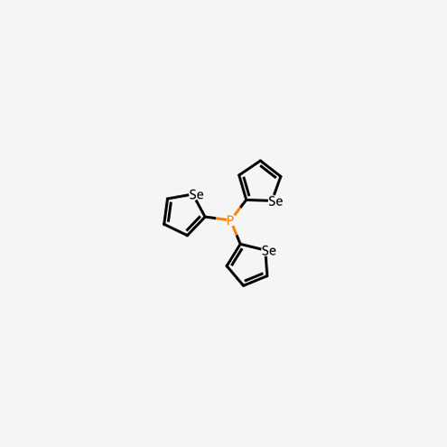 c1c[se]c(P(c2ccc[se]2)c2ccc[se]2)c1